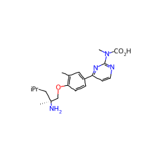 Cc1cc(-c2ccnc(N(C)C(=O)O)n2)ccc1OC[C@@](C)(N)CC(C)C